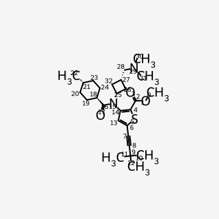 COC(=O)c1sc(C#CC(C)(C)C)cc1N(C(=O)[C@H]1CC[C@H](C)CC1)[C@H]1C[C@@H](CN(C)C)C1